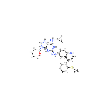 CSc1ccccc1-c1ccnc2ccc(Nc3nc(NC4CC4)c4ncn(C5CCCCO5)c4n3)cc12